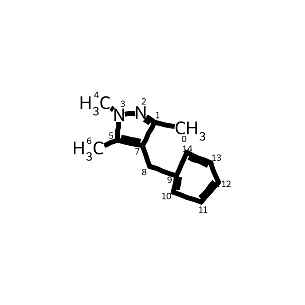 Cc1nn(C)c(C)c1Cc1cc[c]cc1